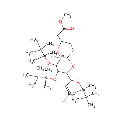 COC(=O)CC1CCC2OC(C(/C=C/I)O[Si](C)(C)C(C)(C)C)C(O[Si](C)(C)C(C)(C)C)C(O[Si](C)(C)C(C)(C)C)[C@H]2O1